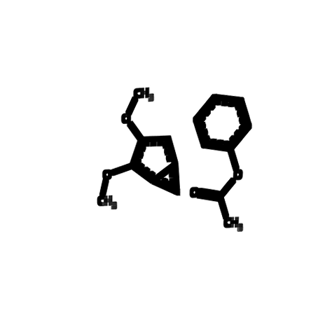 CC(=O)Oc1ccccc1.COc1cc2cc-2c1OC